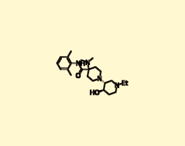 CCN1CC[C@@H](O)[C@H](N2CCC(C(=O)Nc3c(C)cccc3C)(N(C)C)CC2)C1